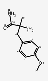 COc1ccc(CC(C)(N)C(N)=O)cc1